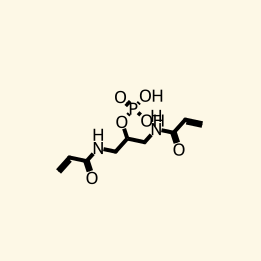 C=CC(=O)NCC(CNC(=O)C=C)OP(=O)(O)O